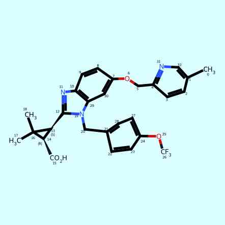 Cc1ccc(COc2ccc3nc([C@H]4[C@@H](C(=O)O)C4(C)C)n(Cc4ccc(OC(F)(F)F)cc4)c3c2)nc1